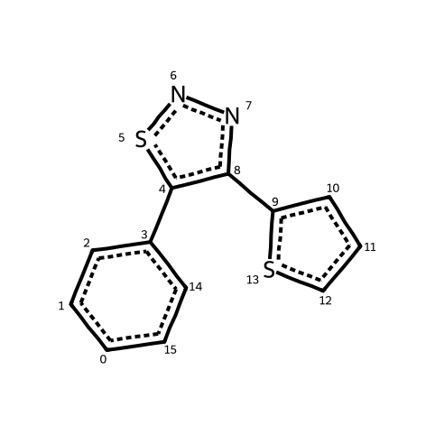 c1ccc(-c2snnc2-c2cccs2)cc1